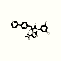 C[C@@]1(Cc2ccc(-c3cccnc3)cc2)C(=O)N(c2cc(Cl)cc(Cl)c2)c2ncc(S(C)(=O)=O)n21